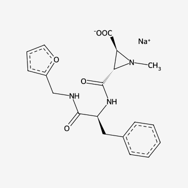 CN1[C@H](C(=O)[O-])[C@H]1C(=O)N[C@@H](Cc1ccccc1)C(=O)NCc1ccco1.[Na+]